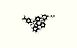 N#Cc1cccc(C#N)c1-c1c(-c2cccc(N3CCC(C(=O)O)CC3(F)F)c2)n(S(=O)(=O)c2ccc(C(F)F)cc2)c2ccc(F)cc12